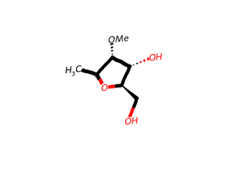 CO[C@H]1C(C)O[C@H](CO)[C@H]1O